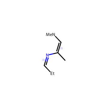 CC/C=N\C(C)=C/NC